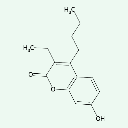 CCCCc1c(CC)c(=O)oc2cc(O)ccc12